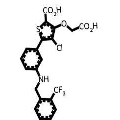 O=C(O)COc1c(C(=O)O)sc(-c2cccc(NCc3ccccc3C(F)(F)F)c2)c1Cl